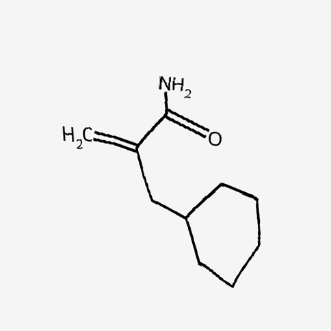 C=C(CC1CCCCC1)C(N)=O